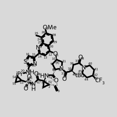 C=C[C@@H]1C[C@]1(NC(=O)[C@@H]1C[C@@H](Oc2cc(-c3csc(NC(C)C)n3)nc3c(C)c(OC)ccc23)CN1C(=O)[C@@H](CC(=O)N1CCC(C(F)(F)F)CC1)C(C)(C)C)C(=O)NS(=O)(=O)C1CC1